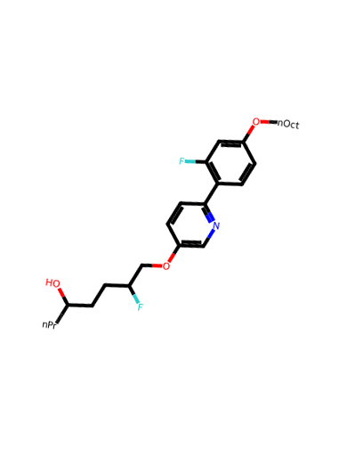 CCCCCCCCOc1ccc(-c2ccc(OCC(F)CCC(O)CCC)cn2)c(F)c1